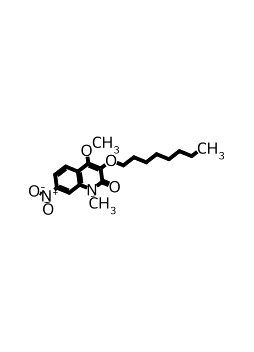 CCCCCCCCOc1c(OC)c2ccc([N+](=O)[O-])cc2n(C)c1=O